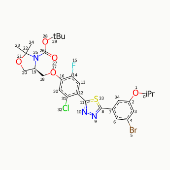 CC(C)Oc1cc(Br)cc(-c2nnc(-c3cc(F)c(OC[C@H]4COC(C)(C)N4C(=O)OC(C)(C)C)cc3Cl)s2)c1